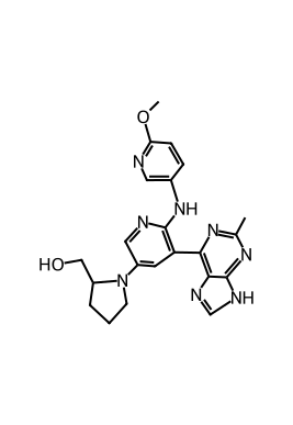 COc1ccc(Nc2ncc(N3CCCC3CO)cc2-c2nc(C)nc3[nH]cnc23)cn1